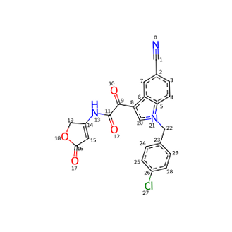 N#Cc1ccc2c(c1)c(C(=O)C(=O)NC1=CC(=O)OC1)cn2Cc1ccc(Cl)cc1